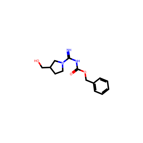 N=C(NC(=O)OCc1ccccc1)N1CCC(CO)C1